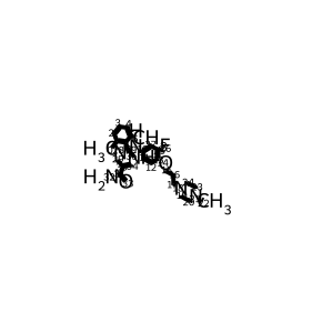 Cc1cccc(C)c1C1(Nc2ccc(OCCCN3CCN(C)CC3)c(F)c2)N=CC(C(N)=O)=CN1